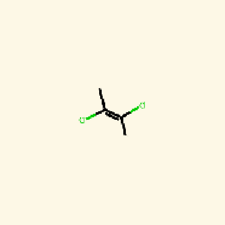 [CH2]/C(Cl)=C(/C)Cl